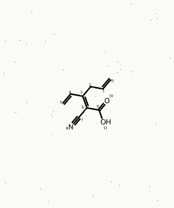 C=CCC(C=C)=C(C#N)C(=O)O